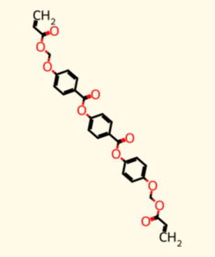 C=CC(=O)OCOc1ccc(OC(=O)c2ccc(OC(=O)c3ccc(OCOC(=O)C=C)cc3)cc2)cc1